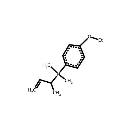 C=CC(C)[N+](C)(C)c1ccc(OCC)cc1